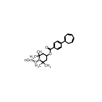 CCCCCCCCON1C(C)(C)CC(OC(=O)c2ccc(C3=CC=CC=CC3)cc2)CC1(C)C